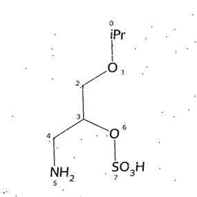 CC(C)OCC(CN)OS(=O)(=O)O